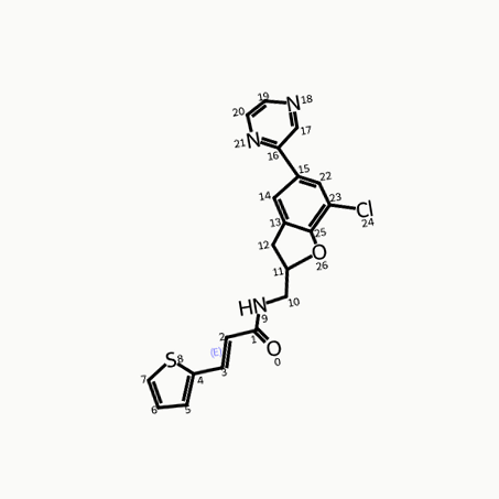 O=C(/C=C/c1cccs1)NCC1Cc2cc(-c3cnccn3)cc(Cl)c2O1